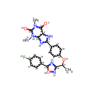 CCCn1c(=O)c2[nH]c(-c3ccc(OC(C)c4noc(-c5ccc(F)cc5)n4)cc3)nc2n(CCC)c1=O